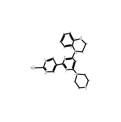 Nc1ncc(-c2nc(N3CCOCC3)cc(N3CCOc4ccccc43)n2)cn1